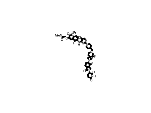 CNC(=O)COc1cc2c(F)c(Nc3nc(N4CCC(CN5CCC6(CN(c7ccc8c(c7F)CN(C7CCC(=O)NC7=O)C8=O)C6)C(F)(F)C5)CC4)ncc3Cl)ccc2n(C(C)C)c1=O